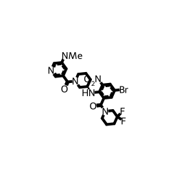 CNc1cncc(C(=O)N2CCC[C@@H](Nc3c(C(=O)N4CCCC(F)(F)C4)cc(Br)cc3[N+](=O)[O-])C2)c1